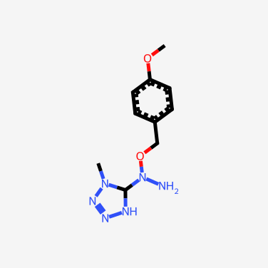 COc1ccc(CON(N)C2NN=NN2C)cc1